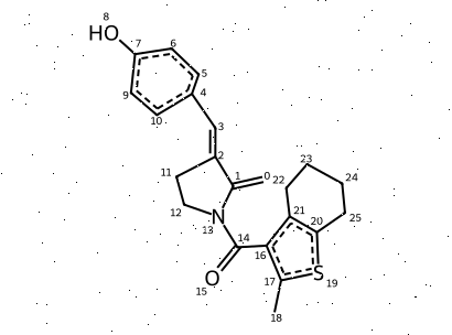 C=C1/C(=C/c2ccc(O)cc2)CCN1C(=O)c1c(C)sc2c1CCCC2